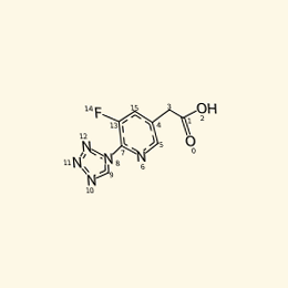 O=C(O)Cc1cnc(-n2cnnn2)c(F)c1